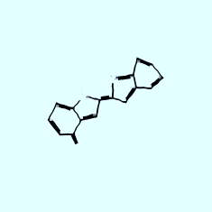 O=C1C=CC=c2[nH]c(=C3C=c4ccccc4=N3)cc21